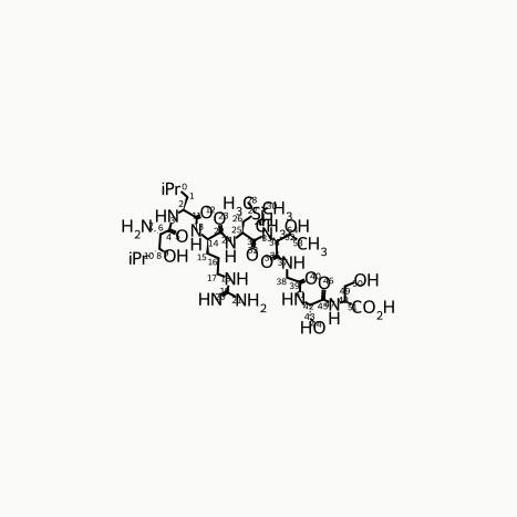 CC(C)C[C@H](NC(=O)[C@@H](N)[C@H](O)C(C)C)C(=O)N[C@H](CCCNC(=N)N)C(=O)N[C@@H](C[Si](C)(C)C)C(=O)N[C@H](C(=O)NCC(=O)N[C@@H](CO)C(=O)N[C@@H](CO)C(=O)O)[C@H](C)O